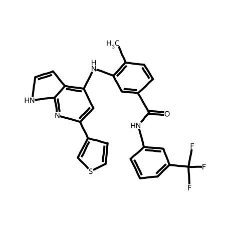 Cc1ccc(C(=O)Nc2cccc(C(F)(F)F)c2)cc1Nc1cc(-c2ccsc2)nc2[nH]ccc12